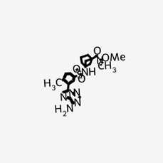 CON(C)C(=O)C12CCCC(NS(=O)(=O)c3ccc(C)c(-c4cnc5c(N)ncnn45)c3)(C1)C2